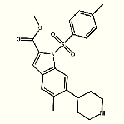 COC(=O)c1cc2cc(C)c(C3CCNCC3)cc2n1S(=O)(=O)c1ccc(C)cc1